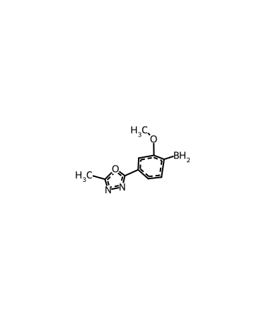 Bc1ccc(-c2nnc(C)o2)cc1OC